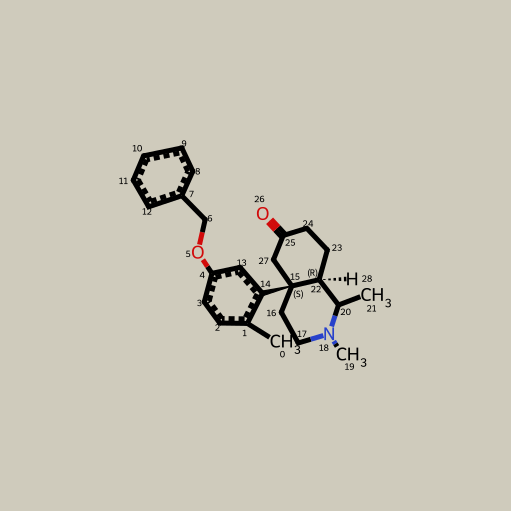 Cc1ccc(OCc2ccccc2)cc1[C@]12CCN(C)C(C)[C@@H]1CCC(=O)C2